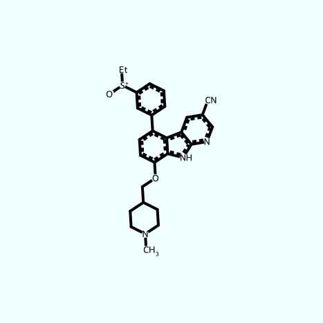 CC[S+]([O-])c1cccc(-c2ccc(OCC3CCN(C)CC3)c3[nH]c4ncc(C#N)cc4c23)c1